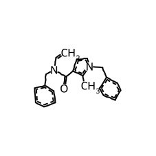 C=CN(Cc1ccccc1)C(=O)c1ccn(Cc2ccccc2)c1C